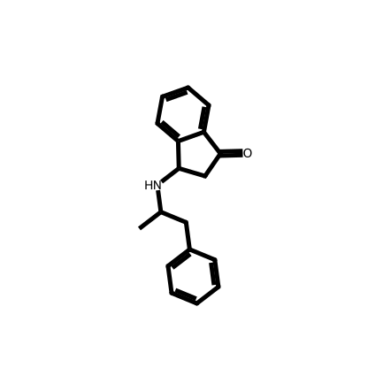 CC(Cc1ccccc1)NC1CC(=O)c2ccccc21